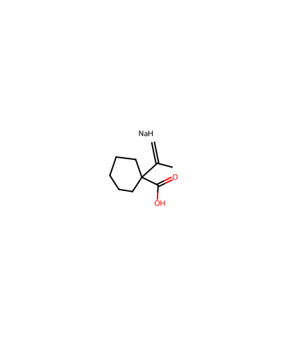 C=C(C)C1(C(=O)O)CCCCC1.[NaH]